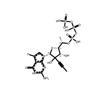 CC#CC1(O)[C@@H](O)[C@@H]([C@H](C)OP(=O)(O)OP(=O)(O)OP(=O)(O)O)O[C@H]1n1cc(F)c2c(=O)[nH]c(N)nc21